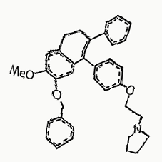 COc1cc2c(cc1OCc1ccccc1)C(c1ccc(OCCN3CCCC3)cc1)=C(c1ccccc1)CC2